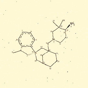 CCC[C@@]1(c2ccccc2)CC2CCCC(CN3CC[C@H](N)C(C)(C)C3)(C2)C1